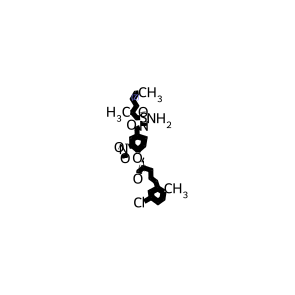 C/C=C\CC(C)CS(N)(=O)=NC(=O)c1ccc(OC[C@@H](C=O)CCCc2cc(Cl)ccc2C)c([N+](=O)[O-])c1